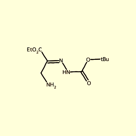 CCOC(=O)C(CN)=NNC(=O)OC(C)(C)C